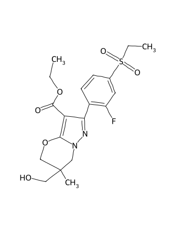 CCOC(=O)c1c(-c2ccc(S(=O)(=O)CC)cc2F)nn2c1OCC(C)(CO)C2